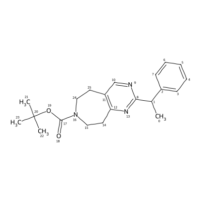 CC(c1ccccc1)c1ncc2c(n1)CCN(C(=O)OC(C)(C)C)CC2